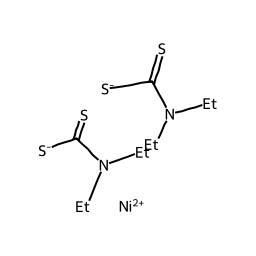 CCN(CC)C(=S)[S-].CCN(CC)C(=S)[S-].[Ni+2]